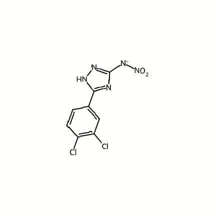 O=[N+]([O-])[N-]c1n[nH]c(-c2ccc(Cl)c(Cl)c2)n1